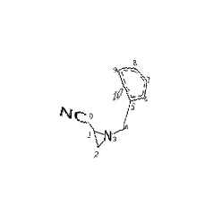 N#CC1CN1Cc1ccccc1